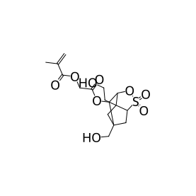 C=C(C)C(=O)OCC(=O)OC1C2OS(=O)(=O)C3CC1(CO)CC23CCO